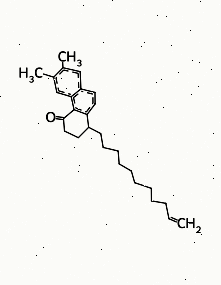 C=CCCCCCCCCCC1CCC(=O)c2c1ccc1cc(C)c(C)cc21